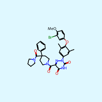 COc1ccc(Oc2c(C)cc(-n3nc(C(=O)N4CCC(C(=O)N5CCCC5)(c5ccccc5)CC4)c(=O)[nH]c3=O)cc2C)cc1Br